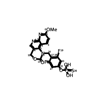 COc1ccc2c3c(cnc2n1)COC(=O)N3Cc1c(F)cc(OP(O)(O)=S)cc1F